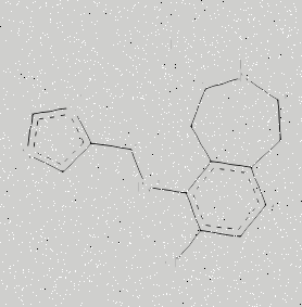 Cl.Clc1ccc2c(c1NCc1cncs1)CCNCC2